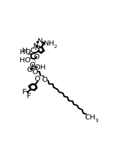 CCCCCCCCCCCCCCCCCCOC[C@H](COP(=O)(O)OC[C@H]1O[C@@](C)(c2ccc3c(N)ncnn23)[C@H](O)[C@@H]1O)OCc1ccc(C(F)F)cc1